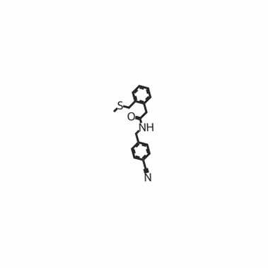 CSCc1ccccc1CC(=O)NCc1ccc(C#N)cc1